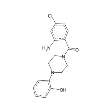 Nc1cc(Cl)ccc1C(=O)N1CCN(c2ccccc2O)CC1